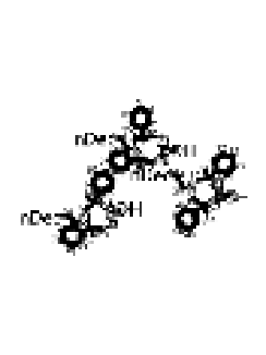 CCCCCCCCCCCCN1C(C)(c2ccccc2)COB(O)OCC1(C)c1ccccc1.CCCCCCCCCCCCN1CC(C)(c2ccccc2)OB(O)OC(C)(c2ccccc2)C1.CCCCCCCCCCCCN1CC(C)(c2ccccc2)OB(O)OCC1(C)c1ccccc1